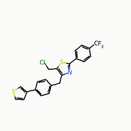 FC(F)(F)c1ccc(-c2nc(Cc3ccc(-c4ccsc4)cc3)c(CCl)s2)cc1